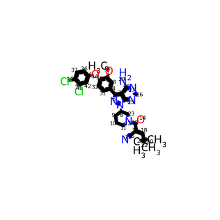 COc1cc(-c2nn([C@@H]3CCCN(C(=O)/C(C#N)=C/C(C)(C)C)C3)c3ncnc(N)c23)ccc1Oc1ccc(Cl)c(Cl)c1